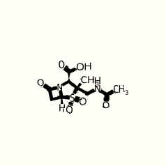 CC(=O)NC[C@@]1(C)[C@H](C(=O)O)N2C(=O)C[C@H]2S1(=O)=O